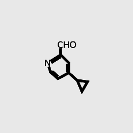 O=Cc1cc(C2CC2)ccn1